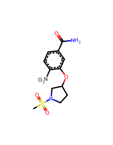 CS(=O)(=O)N1CCC(Oc2cc(C(N)=O)ccc2[N+](=O)[O-])C1